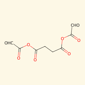 O=CC(=O)OC(=O)CCC(=O)OC(=O)C=O